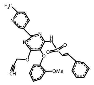 C#CCOc1nc(-c2ccc(C(F)(F)F)nc2)nc(NS(=O)(=O)/C=C/c2ccccc2)c1Oc1ccccc1OC